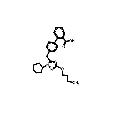 CCCCOc1nc(Cc2ccc(-c3ccccc3C(=O)O)cc2)n(C2CCCCC2)n1